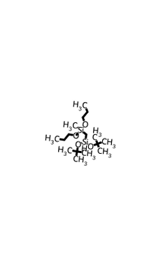 CCCO[Si](C)(C[SiH](OC(C)(C)C)OC(C)(C)C)OCCC